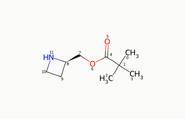 CC(C)(C)C(=O)OC[C@H]1CCN1